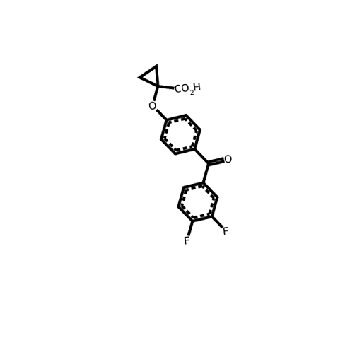 O=C(c1ccc(OC2(C(=O)O)CC2)cc1)c1ccc(F)c(F)c1